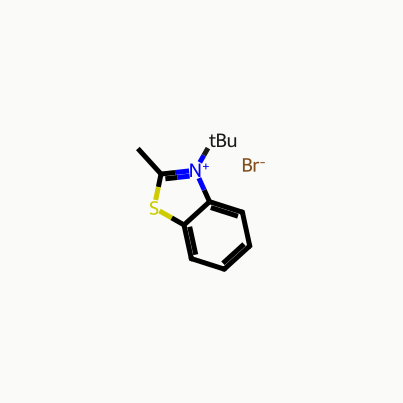 Cc1sc2ccccc2[n+]1C(C)(C)C.[Br-]